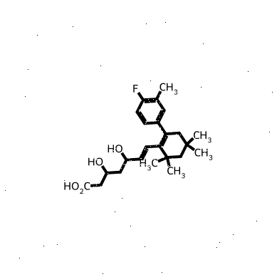 Cc1cc(C2=C(C=CC(O)CC(O)CC(=O)O)C(C)(C)CC(C)(C)C2)ccc1F